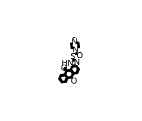 CN1CCN(C(=O)Sc2nc3ccc4c(c3[nH]2)C(=O)c2ccccc2C4=O)CC1